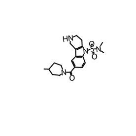 CC1CCN(C(=O)c2ccc3c(c2)c2c(n3S(=O)(=O)N(C)C)CCNC2)CC1